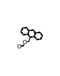 O=COCc1c2ccccc2cc2ccccc12